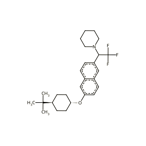 CC(C)(C)[C@H]1CC[C@H](Oc2ccc3cc(C(N4CCCCC4)C(F)(F)F)ccc3c2)CC1